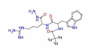 [2H]C([2H])([2H])C(=O)NC(Cc1c[nH]c2ccccc12)C(=O)NC(CCCNC(=N)N)C(=O)NN